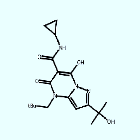 CC(C)(C)Cn1c(=O)c(C(=O)NC2CC2)c(O)n2nc(C(C)(C)O)cc12